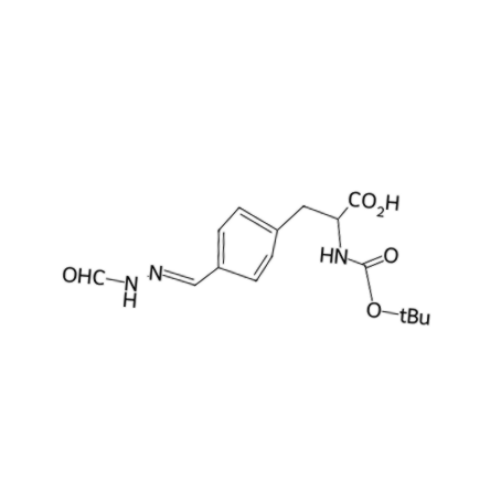 CC(C)(C)OC(=O)NC(Cc1ccc(/C=N/NC=O)cc1)C(=O)O